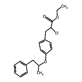 CCOC(=O)C(Cl)Cc1ccc(OC(C)Cc2ccccc2)cc1